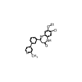 CCOc1cc2c(cc1Cl)NC(=O)CC(c1cccc(-c3ccnc(C)c3)c1)=N2